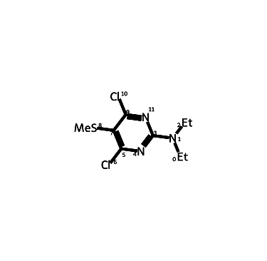 CCN(CC)c1nc(Cl)c(SC)c(Cl)n1